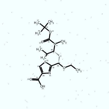 CCO[C@@H](C[C@H](C(C)C)N(C)C(=O)OC(C)(C)C)c1nc(C(=O)O)cs1